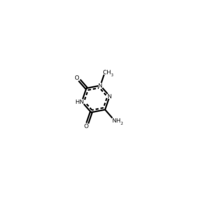 Cn1nc(N)c(=O)[nH]c1=O